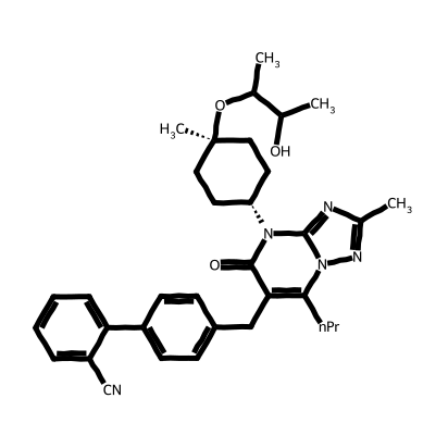 CCCc1c(Cc2ccc(-c3ccccc3C#N)cc2)c(=O)n([C@H]2CC[C@](C)(OC(C)C(C)O)CC2)c2nc(C)nn12